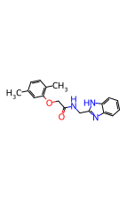 Cc1ccc(C)c(OCC(=O)NCc2nc3ccccc3[nH]2)c1